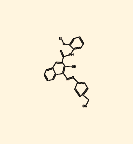 CCOc1ccccc1NC(=O)c1cc2ccccc2c(/N=N/c2ccc(CN=O)cc2)c1O